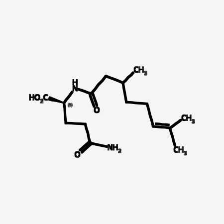 CC(C)=CCCC(C)CC(=O)N[C@@H](CCC(N)=O)C(=O)O